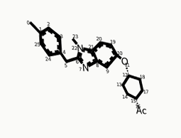 Cc1ccc(Cc2nc3cc(O[C@H]4CC[C@@H](C(C)=O)CC4)ccc3n2C)cc1